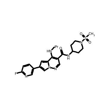 CC(C)Nc1c(C(=O)NC2CCN(S(C)(=O)=O)CC2)cnn2cc(-c3ccc(F)nc3)cc12